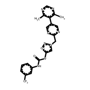 Cc1ncnc(C)c1-c1cnc(C[n+]2cc([N-]C(=O)Nc3cccc(C(F)(F)F)c3)on2)nc1